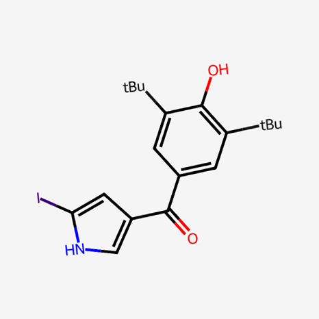 CC(C)(C)c1cc(C(=O)c2c[nH]c(I)c2)cc(C(C)(C)C)c1O